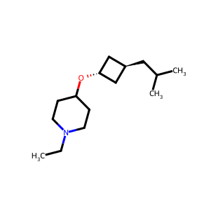 CCN1CCC(O[C@H]2C[C@H](CC(C)C)C2)CC1